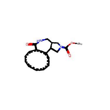 CC(C)(C)OC(=O)N1CC2CNC(=O)c3ccccccccc3C2C1